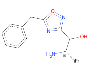 CC(C)[C@H](N)C(O)c1noc(Cc2ccccc2)n1